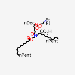 CCCCC/C=C\C/C=C\CCCCCCCC(=O)OCCN(CCC(CCCCCC/C=C\C/C=C\CCCCC)C(=O)O)C(=O)CCC(CCCCCCCCCCCC)OC(=O)OCCCN(CC)CC